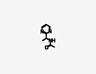 CC(=O)NC(C)c1ncccn1